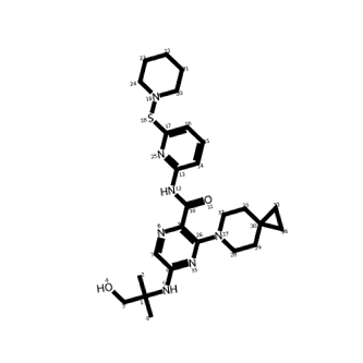 CC(C)(CO)Nc1cnc(C(=O)Nc2cccc(SN3CCCCC3)n2)c(N2CCC3(CC2)CC3)n1